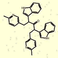 Cc1ccc(CC(C(=O)C(Cc2ccc(C)nc2)c2c[nH]c3ccccc23)c2c[nH]c3ccccc23)cn1